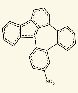 O=[N+]([O-])c1ccc2c(c1)-c1ccccc1-c1cccc3c4ccccc4n-2c13